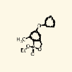 CCOP1(=O)OCc2cc(Oc3ccccc3)cc(C)c21